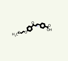 COCCOc1ccc(C(=O)/C=C/c2ccc(C(=O)O)cc2)cc1